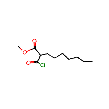 CCCCCCCC(C(=O)Cl)C(=O)OC